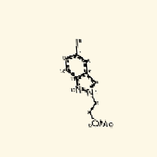 COCCn1cc2cc(I)ccc2n1